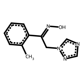 Cc1ccccc1/C(Cn1cncn1)=N/O